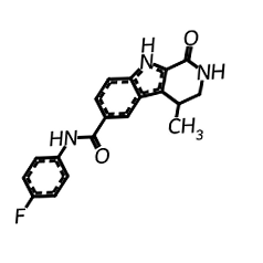 CC1CNC(=O)c2[nH]c3ccc(C(=O)Nc4ccc(F)cc4)cc3c21